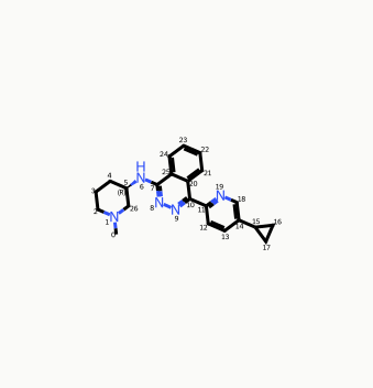 CN1CCC[C@@H](Nc2nnc(-c3ccc(C4CC4)cn3)c3ccccc23)C1